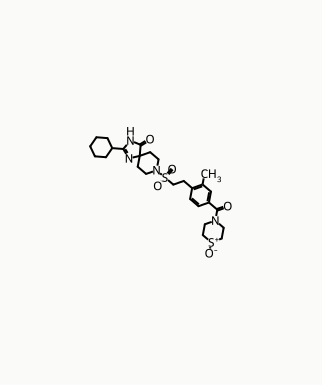 Cc1cc(C(=O)N2CC[S+]([O-])CC2)ccc1CCS(=O)(=O)N1CCC2(CC1)N=C(C1CCCCC1)NC2=O